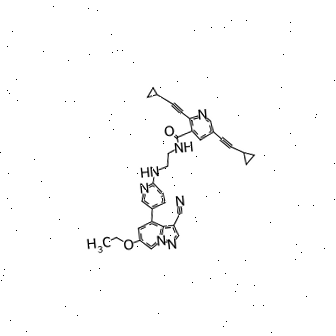 CCOc1cc(-c2ccc(NCCNC(=O)c3cc(C#CC4CC4)cnc3C#CC3CC3)nc2)c2c(C#N)cnn2c1